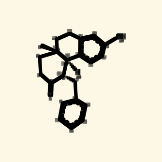 C[C@]12CCC(=O)[C@@H](Cc3ccccc3)[C@@H]1c1ccc(O)cc1CC2